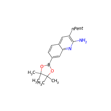 CCCCCc1cc2ccc(B3OC(C)(C)C(C)(C)O3)cc2nc1N